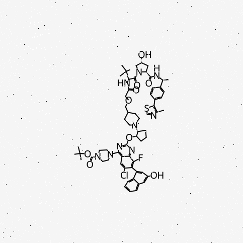 Cc1ncsc1-c1ccc([C@H](C)NC(=O)[C@@H]2C[C@@H](O)CN2C(=O)[C@@H](NC(=O)COCC2CCN([C@@H]3CCC[C@H]3Oc3nc(N4CCN(C(=O)OC(C)(C)C)CC4)c4cc(Cl)c(-c5cc(O)cc6ccccc56)c(F)c4n3)CC2)C(C)(C)C)cc1